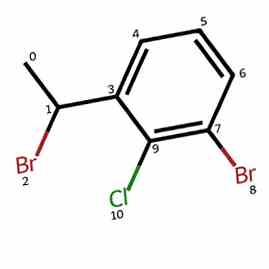 CC(Br)c1cccc(Br)c1Cl